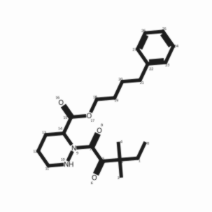 CCC(C)(C)C(=O)C(=O)N1NCCCC1C(=O)OCCCCc1ccccc1